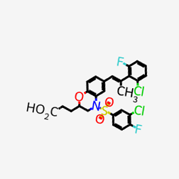 CC(=Cc1ccc2c(c1)N(S(=O)(=O)c1ccc(F)c(Cl)c1)CC(CCC(=O)O)O2)c1c(F)cccc1Cl